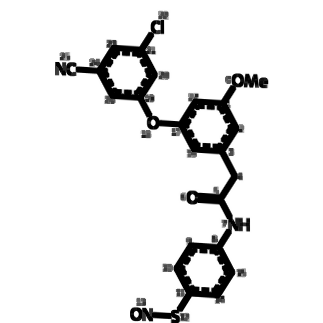 COc1cc(CC(=O)Nc2ccc(SN=O)cc2)cc(Oc2cc(Cl)cc(C#N)c2)c1